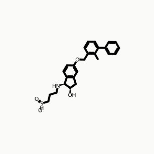 Cc1c(COc2ccc3c(c2)C[C@@H](O)[C@H]3NCCC[SH](=O)=O)cccc1-c1ccccc1